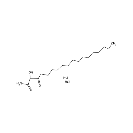 CCCCCCCCCCCCCCCC(=O)C(O)C(N)=O.Cl.Cl